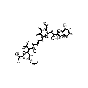 C=CC(=C)/C(C/C=C/CC(=O)/C(=C(\CC=C=CC)OCC(C)=O)C(C)C)=N\N(/C=C/C)C[C@H](O)c1cc2cccc(F)c2o1